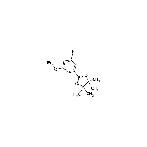 CCC(C)Oc1cc(F)cc(B2OC(C)(C)C(C)(C)O2)c1